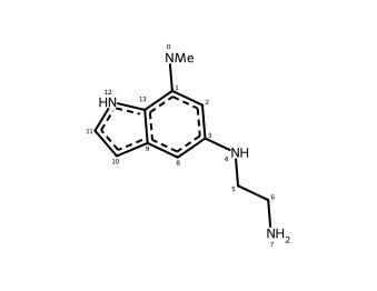 CNc1cc(NCCN)cc2cc[nH]c12